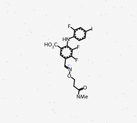 CNC(=O)CCO/N=C/c1cc(C(=O)O)c(Nc2ccc(I)cc2F)c(F)c1F